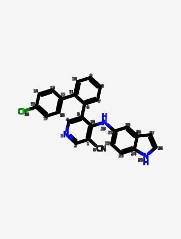 N#Cc1cncc(-c2ccccc2-c2ccc(Cl)cc2)c1Nc1ccc2[nH]ccc2c1